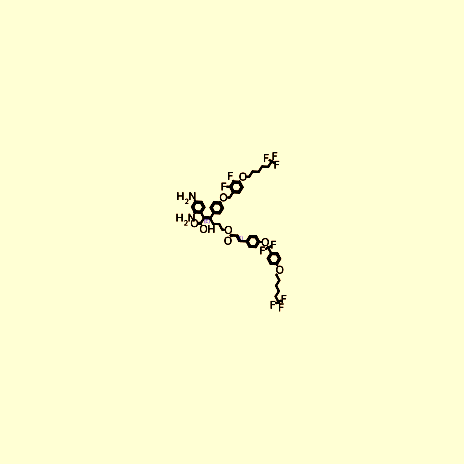 Nc1ccc(/C(C(=O)O)=C(/CCCOC(=O)/C=C/c2ccc(OC(F)(F)c3ccc(OCCCCCC(F)(F)F)cc3)cc2)c2ccc(OCc3ccc(OCCCCCC(F)(F)F)c(F)c3F)cc2)c(N)c1